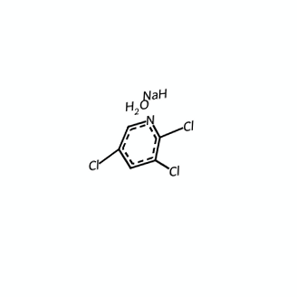 Clc1cnc(Cl)c(Cl)c1.O.[NaH]